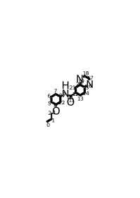 C=CCOc1cccc(NC(=O)c2ccc3nccnc3c2)c1